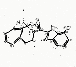 CC1(C)c2cccnc2CCN1C(=O)c1nc2cccc(Cl)c2[nH]1